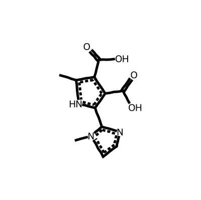 Cc1[nH]c(-c2nccn2C)c(C(=O)O)c1C(=O)O